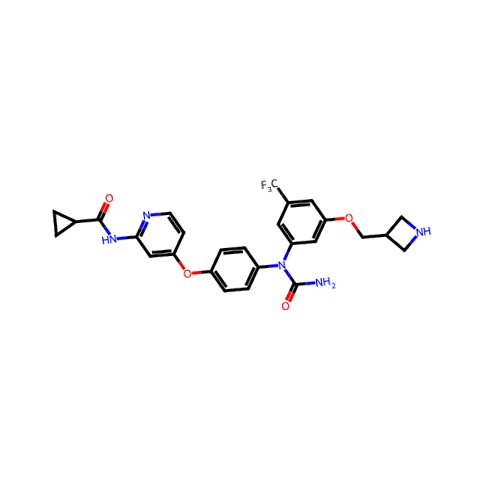 NC(=O)N(c1ccc(Oc2ccnc(NC(=O)C3CC3)c2)cc1)c1cc(OCC2CNC2)cc(C(F)(F)F)c1